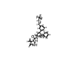 C=C1NCC(C(=O)NC2(C)C=C(c3cccc(COCC(F)(F)F)c3)N(c3ccccc3)N2)C12CC2